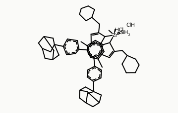 Cc1cc(-c2ccc(C34CC5CC(CC(C5)C3)C4)cc2)c2c(c1)[CH]([Zr]([CH3])([CH3])(=[SiH2])[CH]1C(CC3CCCCC3)=Cc3c(-c4ccc(C56CC7CC(CC(C7)C5)C6)cc4)cc(C)cc31)C(CC1CCCCC1)=C2.Cl.Cl